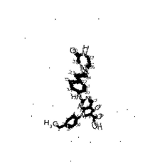 CCc1ccc(-n2cc(C(=O)O)c(=O)c3cnc(Nc4ccc(CCN5CCNC(=O)C5)cc4)nc32)cc1